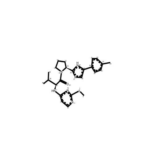 CSc1nccc(N[C@H](C(=O)N2CCC[C@H]2c2ncc(-c3ccc(C)cc3)[nH]2)C(C)C)n1